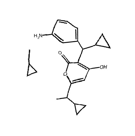 CC(c1cc(O)c(C(c2cccc(N)c2)C2CC2)c(=O)o1)C1CC1.CC1CC1